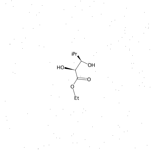 CCOC(=O)[C@@H](O)[C@H](O)C(C)C